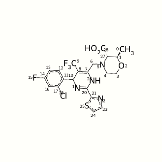 C[C@H]1OCCN(CC2=C(C(F)(F)F)C(c3ccc(F)cc3Cl)N=C(c3nccs3)N2)[C@@H]1C(=O)O